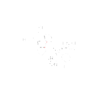 CNS(=O)(=O)c1ccc(I)c(-c2nnn(Cc3ccc(OC)cc3)n2)c1S(=O)(=O)N(Cc1ccc(OC)cc1)Cc1ccc(OC)cc1